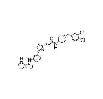 CN(C(=O)[C@@H]1CCCN1)c1cccc(-c2csc(SCC(=O)NC3CCN(Cc4ccc(Cl)c(Cl)c4)CC3)n2)c1